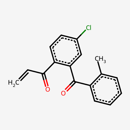 C=CC(=O)c1ccc(Cl)cc1C(=O)c1ccccc1C